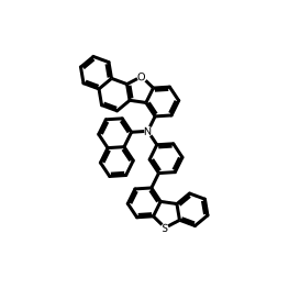 c1cc(-c2cccc3sc4ccccc4c23)cc(N(c2cccc3ccccc23)c2cccc3oc4c5ccccc5ccc4c23)c1